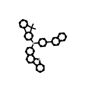 CC1(C)c2ccccc2-c2ccc(N(c3ccc(-c4ccc5ccccc5c4)cc3)c3ccc4ccc5c6ccccc6sc5c4c3)cc21